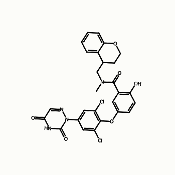 CN(CC1CCOc2ccccc21)C(=O)c1cc(Oc2c(Cl)cc(-n3ncc(=O)[nH]c3=O)cc2Cl)ccc1O